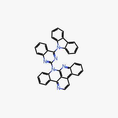 c1ccc2c(c1)-c1nccc3c1c(nc1ccccc13)N2c1nc(-n2c3ccccc3c3ccccc32)c2ccccc2n1